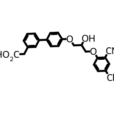 N#Cc1cc(Cl)ccc1OCC(O)COc1ccc(-c2cccc(CC(=O)O)c2)cc1